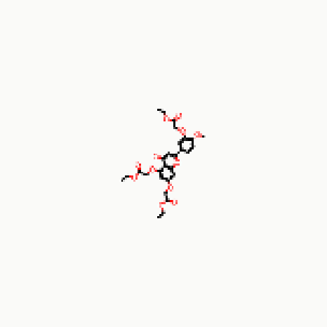 CCOC(=O)COc1cc(OCC(=O)OCC)c2c(=O)cc(-c3ccc(OC)c(OCC(=O)OCC)c3)oc2c1